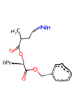 CCC[C@@H](OC(=O)C(C)CC=N)C(=O)OCc1ccccc1